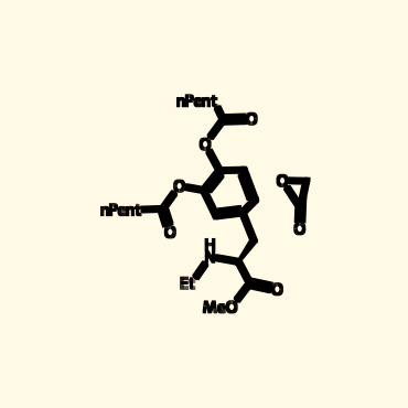 CCCCCC(=O)Oc1ccc(C[C@H](NCC)C(=O)OC)cc1OC(=O)CCCCC.O=C1CO1